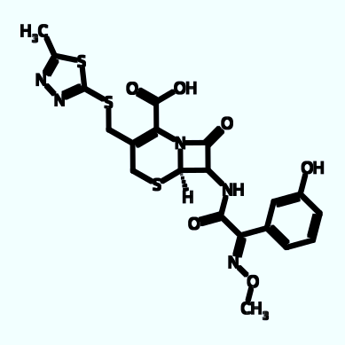 CO/N=C(/C(=O)NC1C(=O)N2C(C(=O)O)=C(CSc3nnc(C)s3)CS[C@H]12)c1cccc(O)c1